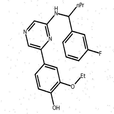 CCCC(Nc1cncc(-c2ccc(O)c(OCC)c2)n1)c1cccc(F)c1